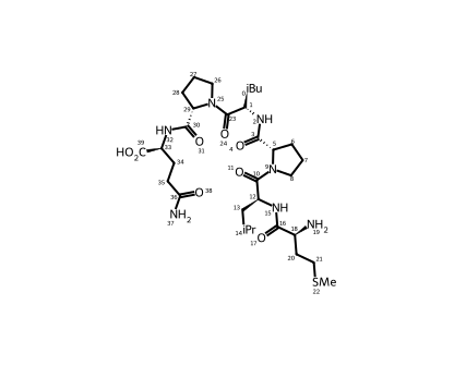 CC[C@H](C)[C@H](NC(=O)[C@@H]1CCCN1C(=O)[C@H](CC(C)C)NC(=O)[C@@H](N)CCSC)C(=O)N1CCC[C@H]1C(=O)N[C@@H](CCC(N)=O)C(=O)O